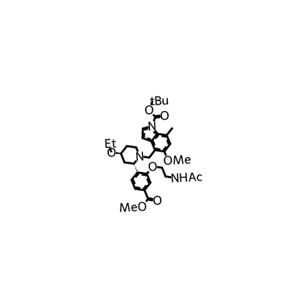 CCO[C@H]1CCN(Cc2c(OC)cc(C)c3c2ccn3C(=O)OC(C)(C)C)[C@H](c2ccc(C(=O)OC)cc2OCCNC(C)=O)C1